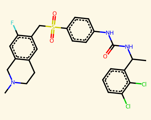 CC(NC(=O)Nc1ccc(S(=O)(=O)Cc2cc3c(cc2F)CN(C)CC3)cc1)c1cccc(Cl)c1Cl